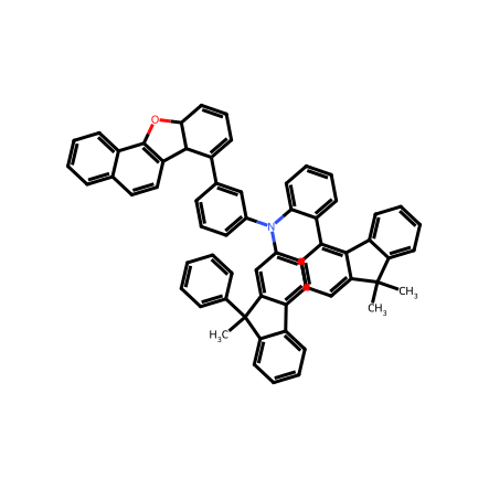 CC1(C)c2ccccc2-c2c(-c3ccccc3N(c3cccc(C4=CC=CC5Oc6c(ccc7ccccc67)C45)c3)c3ccc4c(c3)C(C)(c3ccccc3)c3ccccc3-4)cccc21